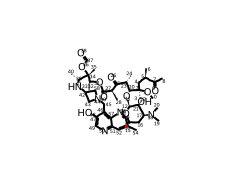 CO[C@](C)(C[C@@H](C)C(C)=O)[C@H](O[C@@H]1O[C@H](C)C[C@H](N(C)C)[C@H]1O)[C@@H](C)C(=O)[C@@H](C)C(=O)O[C@H](I)[C@@](C)(OC=O)[C@@H](C)NC1CN(Cc2c(O)cnc3cc(C)cnc23)C1